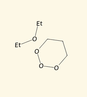 C1COOOC1.CCOCC